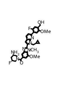 COc1cc(-c2ccc3cc(-c4nc5cc(C(=O)N6C[C@H](N)C[C@@H](F)C6)cc(OC)c5n4C)n(CC4CC4)c3n2)c(F)cc1CO